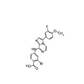 COc1ccc(-c2cnc3c(Nc4ccc(C(=O)O)c(Br)c4)nccn23)cc1F